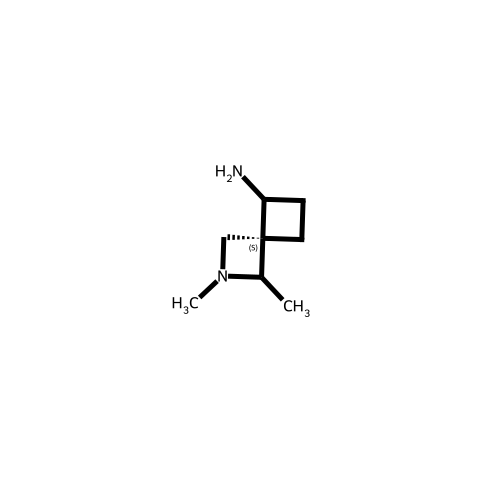 CC1N(C)C[C@]12CCC2N